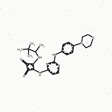 CC(Nc1c(Nc2ccnc(Nc3ccc(N4CCOCC4)cc3)n2)c(=O)c1=O)C(C)(C)C